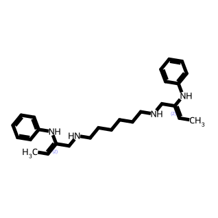 C/C=C(/CNCCCCCCNC/C(=C/C)Nc1ccccc1)Nc1ccccc1